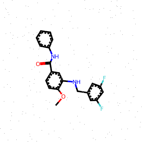 COc1ccc(C(=O)Nc2ccccc2)cc1NCc1cc(F)cc(F)c1